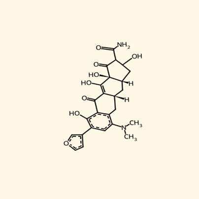 CN(C)c1cc(-c2ccoc2)c(O)c2c1C[C@H]1C[C@H]3CC(O)C(C(N)=O)C(=O)[C@@]3(O)C(O)=C1C2=O